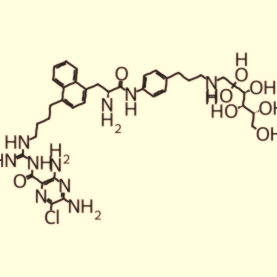 N=C(NCCCCc1ccc(C[C@H](N)C(=O)Nc2ccc(CCCNCC(O)(O)[C@@H](O)[C@H](O)[C@H](O)CO)cc2)c2ccccc12)NC(=O)c1nc(Cl)c(N)nc1N